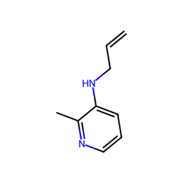 C=CCNc1cccnc1C